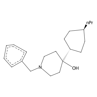 CCC[C@H]1CC[C@H](C2(O)CCN(Cc3ccccc3)CC2)CC1